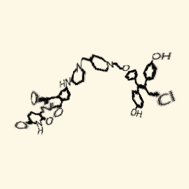 O=C1CCC(N2C(=O)c3ccc(N[C@H]4CCCN(CC5CCN(CCOc6ccc(C(=C(CCCl)c7ccc(O)cc7)c7ccc(O)cc7)cc6)CC5)C4)cc3C2=O)C(=O)N1